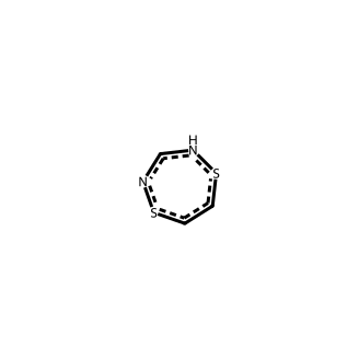 c1nsccs[nH]1